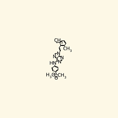 CCc1cccc(C)c1/C=C/n1cnc2c(Nc3ccc(P(C)(C)=O)cc3)ncnc21